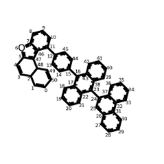 C1=CC2C=Cc3oc4cccc(-c5ccc(-c6c7ccccc7c(-c7cc8ccccc8c8ccccc78)c7ccccc67)cc5)c4c3C2C=C1